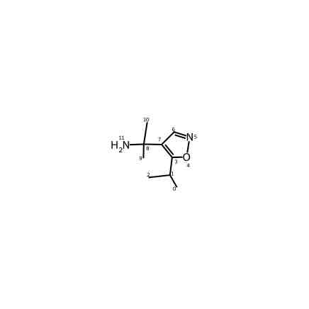 CC(C)c1oncc1C(C)(C)N